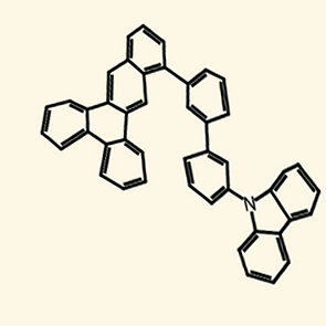 c1cc(-c2cccc(-n3c4ccccc4c4ccccc43)c2)cc(-c2cccc3cc4c5ccccc5c5ccccc5c4cc23)c1